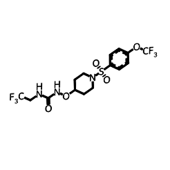 O=C(NCC(F)(F)F)NOC1CCN(S(=O)(=O)c2ccc(OC(F)(F)F)cc2)CC1